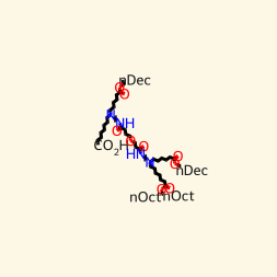 CCCCCCCCCCCOC(=O)CCCCCN(CCCCCCCC(=O)O)CCNC(=O)CCCOCCC(=O)NCCN(CCCCCCC(=O)OC(CCCCCCCC)CCCCCCCC)CCCCCC(=O)OCCCCCCCCCCC